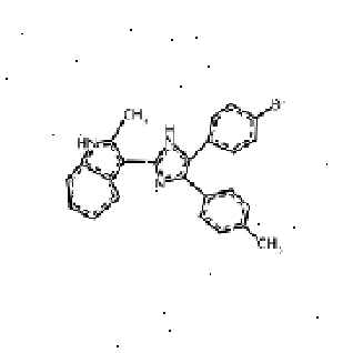 Cc1ccc(-c2nc(-c3c(C)[nH]c4ccccc34)[nH]c2-c2ccc(Br)cc2)cc1